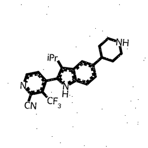 CC(C)c1c(-c2ccnc(C#N)c2C(F)(F)F)[nH]c2ccc(C3CCNCC3)cc12